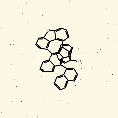 Cc1cccc(-c2cccc3oc4cccc(-c5c6ccccc6c(-c6cccc7ccccc67)c6ccccc56)c4c23)c1